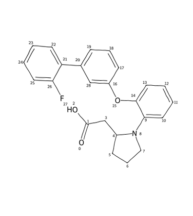 O=C(O)CC1CCCN1c1ccccc1Oc1cccc(-c2ccccc2F)c1